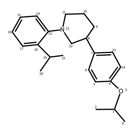 CC(C)Oc1ccc(C2CCCN(c3ccccc3C(C)C)C2)cc1